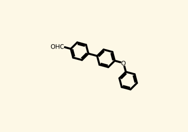 O=Cc1ccc(-c2ccc(Oc3ccccc3)cc2)cc1